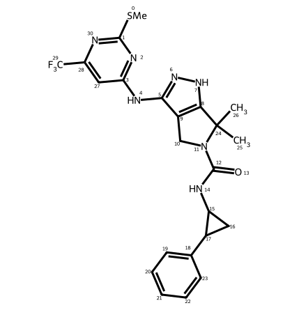 CSc1nc(Nc2n[nH]c3c2CN(C(=O)NC2CC2c2ccccc2)C3(C)C)cc(C(F)(F)F)n1